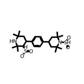 CC1(C)CC(c2ccc(C3CC(C)(C)N([SH](=O)=O)C(C)(C)C3)cc2)C([SH](=O)=O)C(C)(C)N1